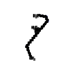 CCCCC/C=C\C/C=C\CCCCCCCCN(CCSCCCCCCCC/C=C\CCCCCCCC)S(=O)(=O)CC